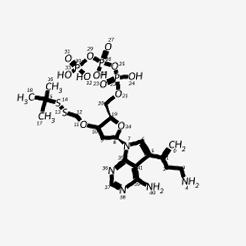 C=C(CCN)c1cn([C@H]2CC(OCSSC(C)(C)C)[C@@H](COP(=O)(O)OP(=O)(O)OP(=O)(O)O)O2)c2ncnc(N)c12